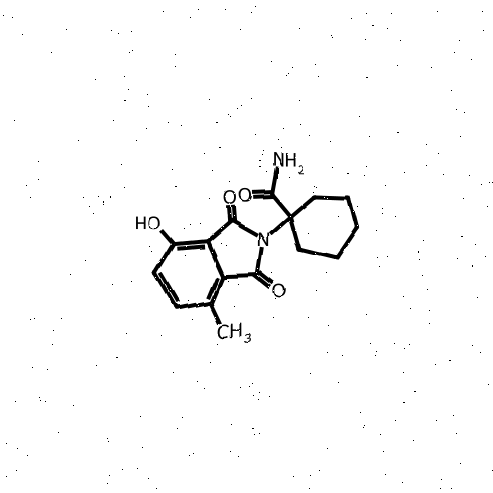 Cc1ccc(O)c2c1C(=O)N(C1(C(N)=O)CCCCC1)C2=O